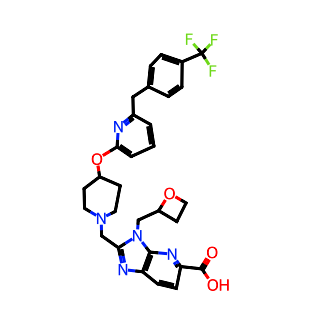 O=C(O)c1ccc2nc(CN3CCC(Oc4cccc(Cc5ccc(C(F)(F)F)cc5)n4)CC3)n(CC3CCO3)c2n1